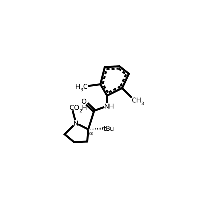 Cc1cccc(C)c1NC(=O)[C@@]1(C(C)(C)C)CCCN1C(=O)O